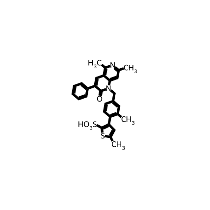 Cc1cc2c(cc(-c3ccccc3)c(=O)n2Cc2ccc(-c3cc(C)sc3S(=O)(=O)O)c(C)c2)c(C)n1